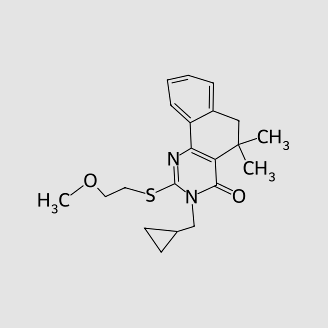 COCCSc1nc2c(c(=O)n1CC1CC1)C(C)(C)Cc1ccccc1-2